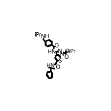 CC(C)NCc1ccc(C(=O)Nc2nn(C(=O)OC(C)C)c3sc(C(=O)NC(C)(C)c4ccccc4)cc23)cc1